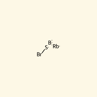 [B].[Rb].[S]Br